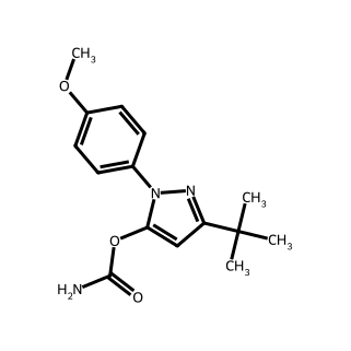 COc1ccc(-n2nc(C(C)(C)C)cc2OC(N)=O)cc1